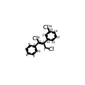 ClCC(=C(Cl)c1ccccc1)c1cccc(Cl)c1